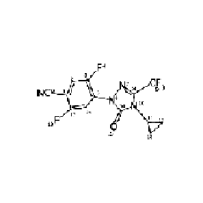 N#Cc1cc(F)c(-n2nc(C(F)(F)F)n(C3CC3)c2=O)cc1F